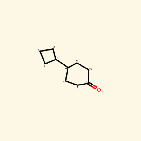 O=C1CCC(C2CCC2)CC1